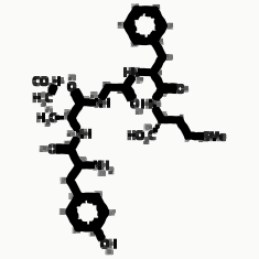 CC(=O)O.CSCC[C@@H](NC(=O)C(Cc1ccccc1)NC(=O)CNC(=O)[C@@H](C)NC(=O)C(N)Cc1ccc(O)cc1)C(=O)O